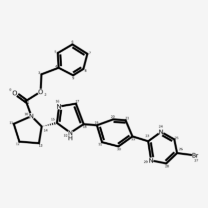 O=C(OCc1ccccc1)N1CCC[C@H]1c1ncc(-c2ccc(-c3ncc(Br)cn3)cc2)[nH]1